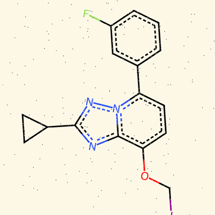 Fc1cccc(-c2ccc(OCI)c3nc(C4CC4)nn23)c1